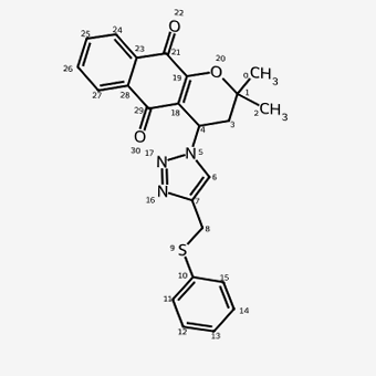 CC1(C)CC(n2cc(CSc3ccccc3)nn2)C2=C(O1)C(=O)c1ccccc1C2=O